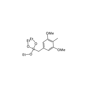 CCO[Si](Cc1cc(OC)c(C)c(OC)c1)(OCC)OCC